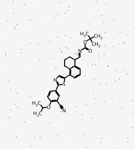 CC(C)Oc1ccc(-c2ncc(-c3cccc4c3CCCC4/C=N/C(=O)OC(C)(C)C)s2)cc1C#N